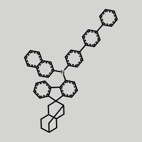 c1ccc(-c2ccc(-c3ccc(N(c4ccc5ccccc5c4)c4cccc5c4-c4ccccc4C54CC5CCC6CC5CC4C6)cc3)cc2)cc1